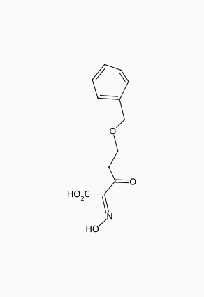 O=C(O)/C(=N\O)C(=O)CCOCc1ccccc1